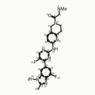 CNCC(=O)N1CCc2nc(Nc3ncc(F)c(-c4cc(F)c5nc(C)n(C(C)C)c5c4)n3)ccc2C1